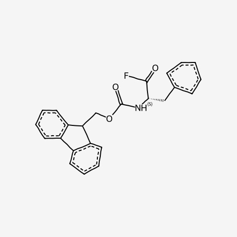 O=C(N[C@@H](Cc1ccccc1)C(=O)F)OCC1c2ccccc2-c2ccccc21